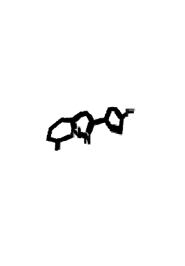 CC1CCCc2cc(-c3ccc(F)cc3)nn21